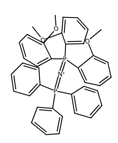 COc1ccccc1P(=[N+]=P(c1ccccc1)(c1ccccc1)c1ccccc1)(c1ccccc1OC)c1ccccc1OC